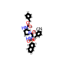 N#Cc1cccc(C[C@H](NS(=O)(=O)c2ccc3ccccc3c2)C(=O)N2CCC[C@@H](NC(=O)OCc3ccccc3)C2)c1